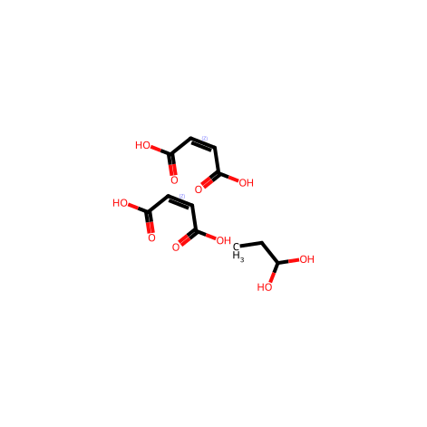 CCC(O)O.O=C(O)/C=C\C(=O)O.O=C(O)/C=C\C(=O)O